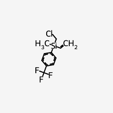 C=C[Si](C)(CCl)c1ccc(C(F)(F)F)cc1